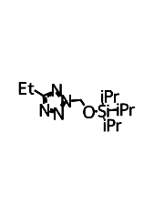 CCc1nnn(CO[Si](C(C)C)(C(C)C)C(C)C)n1